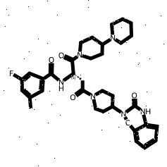 Cc1cc(F)cc(C(=O)N[C@@H](CC(=O)N2CCC(N3Cc4ccccc4NC3=O)CC2)C(=O)N2CCC(N3CCCCC3)CC2)c1